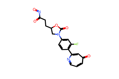 O=NC(=O)CCC1CN(c2ccc(-c3cc(=O)cccn3)c(F)c2)C(=O)O1